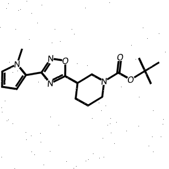 Cn1cccc1-c1noc(C2CCCN(C(=O)OC(C)(C)C)C2)n1